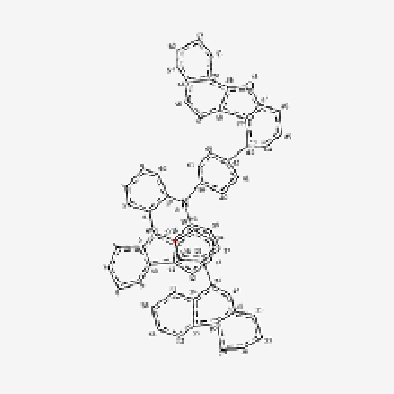 c1ccc(-n2c3ccccc3c3ccccc32)c(N(c2ccc(-c3cc4ccccc4c4ccccc34)cc2)c2ccc(-c3cccc4oc5c6ccccc6ccc5c34)cc2)c1